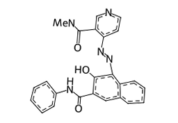 CNC(=O)c1cnccc1/N=N/c1c(O)c(C(=O)Nc2ccccc2)cc2ccccc12